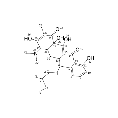 CCC(C)SCC1c2cccc(O)c2C(=O)C2=C(O)C3(O)C(=O)C(C)=C(O)C(N(C)C)C3CC21